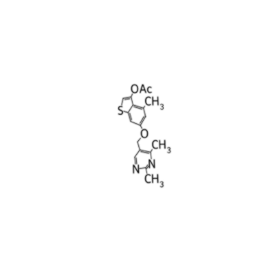 CC(=O)Oc1csc2cc(OCc3cnc(C)nc3C)cc(C)c12